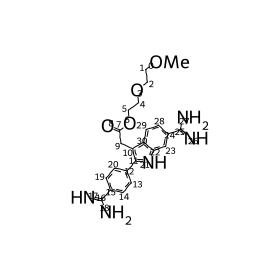 COCCOCCOC(=O)Cc1c(-c2ccc(C(=N)N)cc2)[nH]c2cc(C(=N)N)ccc12